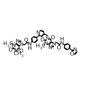 Cn1c(=O)c2c(ncn2CC(=O)Nc2ccc(-c3cc(Cn4c(=O)c5c(ncn5CC(=O)Nc5ccc(-c6ncco6)cc5)n(C)c4=O)ccn3)cc2)n(C)c1=O